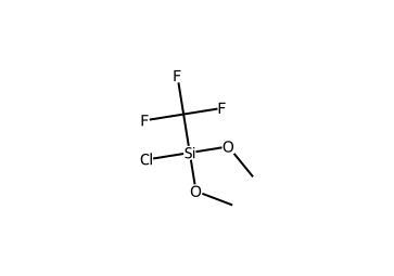 CO[Si](Cl)(OC)C(F)(F)F